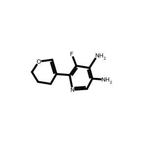 Nc1cnc(C2=COCCC2)c(F)c1N